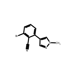 Cn1cc(-c2cccc(Br)c2C#N)cn1